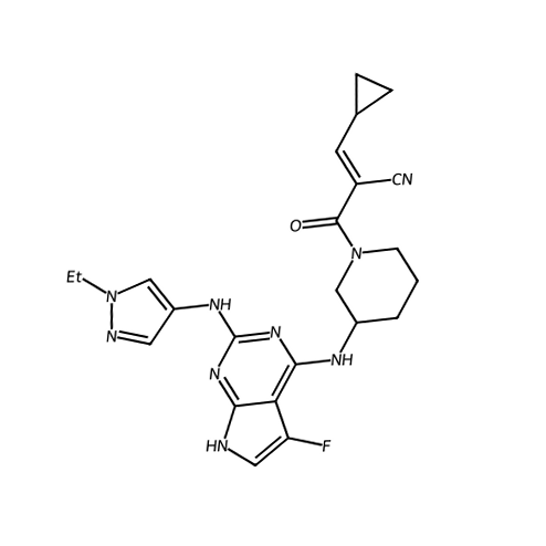 CCn1cc(Nc2nc(NC3CCCN(C(=O)/C(C#N)=C/C4CC4)C3)c3c(F)c[nH]c3n2)cn1